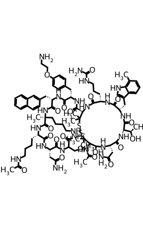 CC(=O)NCCCC[C@H](NC(=O)[C@](C)(CCCCN)NC(=O)[C@H](Cc1ccc2ccccc2c1)NC(=O)[C@H](Cc1ccc(OCCN)cc1)NC(=O)[C@H]1NC(=O)[C@H](CCCNC(N)=O)NC(=O)[C@H](Cc2c[nH]c3c(C)cccc23)NC(=O)[C@H]([C@@H](C)O)NC(=O)[C@H](CC(N)=O)NC(O)[C@@H](NC(C)=O)C(C)(C)SSC1(C)C)C(=O)N[C@@H](CC(N)=O)C(=O)NC(CO)C(N)=O